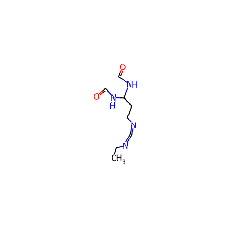 CCN=C=NCCC(NC=O)NC=O